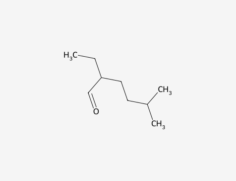 CCC(C=O)CCC(C)C